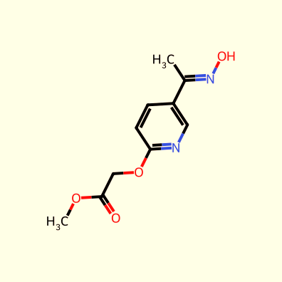 COC(=O)COc1ccc(/C(C)=N/O)cn1